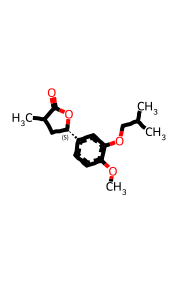 COc1ccc([C@@H]2CC(C)C(=O)O2)cc1OCC(C)C